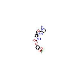 O=C(COc1ccc2c(c1)OC(F)(F)O2)NC12CC(C1)[C@@H](NC(=O)C1CCCCN1)C2